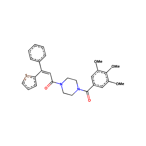 COc1cc(C(=O)N2CCN(C(=O)C=C(c3ccccc3)c3cccs3)CC2)cc(OC)c1OC